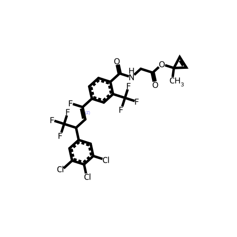 CC1(OC(=O)CNC(=O)c2ccc(/C(F)=C/C(c3cc(Cl)c(Cl)c(Cl)c3)C(F)(F)F)cc2C(F)(F)F)C=C1